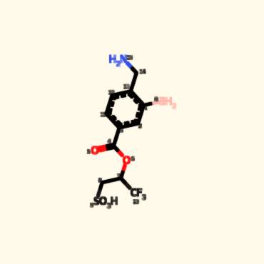 Bc1cc(C(=O)OC(CS(=O)(=O)O)C(F)(F)F)ccc1CN